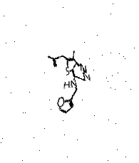 C=C(C)Cc1sc2c(NCc3ccco3)cnnc2c1C